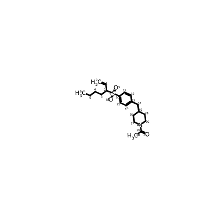 C=CC(CCCC)S(=O)(=O)c1ccc(CC2CCN(C(C)=O)CC2)cc1